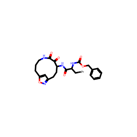 CC(C)CC(NC(=O)OCc1ccccc1)C(=O)NC1CCc2cc(on2)CCCNC(=O)C1=O